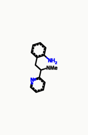 CNC(Cc1ccccc1N)c1ccccn1